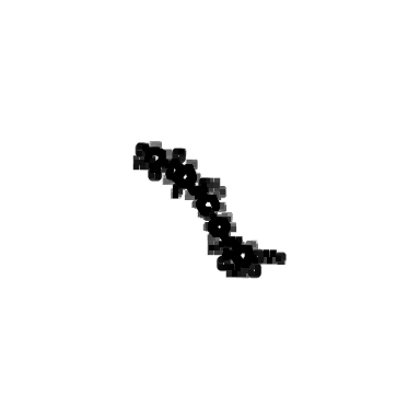 COc1cc(OC)c2c(=O)[nH]c(-c3ccc(N4CCC(N(C)Cc5ccc6c(c5F)CN(C5CCC(=O)NC5=O)C6=O)CC4)cc3)nc2c1